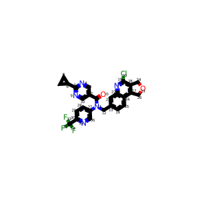 O=C(c1cnc(C2CC2)nc1)N(Cc1ccc2c3c(c(Cl)nc2c1)COC3)c1ccc(C(F)(F)F)nc1